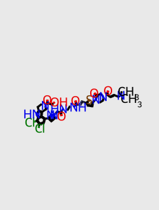 CN(C)CC=CC(=O)N1CCN(c2ccc(/C=C/C(=O)NCCNC(=O)Cn3ccc(-c4cc(Cl)c(Cl)c5[nH]c6c(c45)CN(C(=O)CO)CC6)n3)s2)C(=O)C1